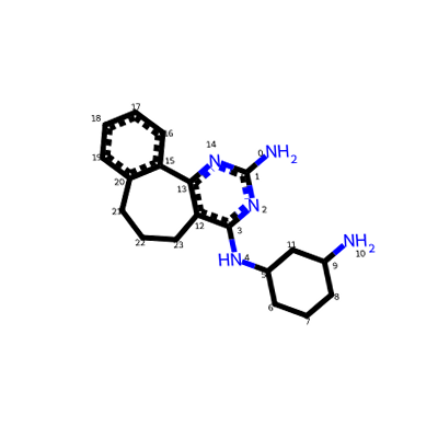 Nc1nc(NC2CCCC(N)C2)c2c(n1)-c1ccccc1CCC2